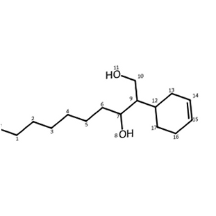 CCCCCCCC(O)C(CO)C1CC=CCC1